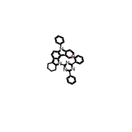 c1ccc(-c2nc(-c3ccccc3)nc(-n3c4c(c5ccc6c(c7cnccc7n6-c6ccccc6)c53)CCCC4)n2)cc1